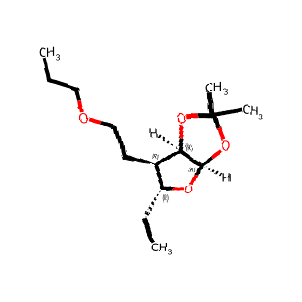 CCCOCC[C@H]1[C@H]2OC(C)(C)O[C@H]2O[C@@H]1CC